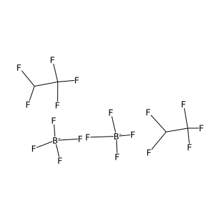 FC(F)C(F)(F)F.FC(F)C(F)(F)F.F[B-](F)(F)F.F[B-](F)(F)F